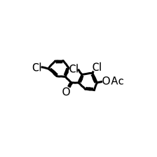 CC(=O)Oc1ccc(C(=O)c2cccc(Cl)c2)c(Cl)c1Cl